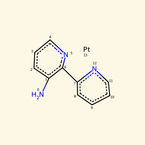 Nc1cccnc1-c1ccccn1.[Pt]